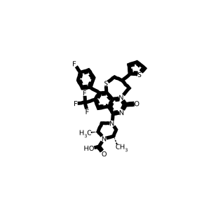 C[C@@H]1CN(c2nc(=O)n3c4c(c(-c5ccc(F)cc5)c(C(F)(F)F)cc24)SCC(c2cccs2)C3)C[C@H](C)N1C(=O)O